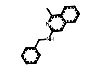 Cc1nc(NCc2ccccc2)cc2ccccc12